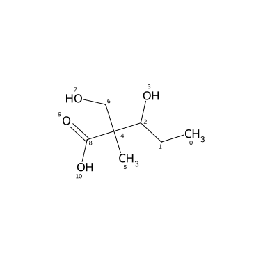 CCC(O)C(C)(CO)C(=O)O